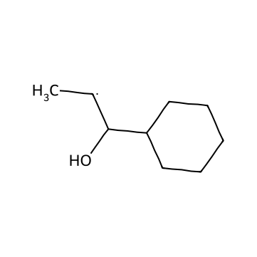 C[CH]C(O)C1CCCCC1